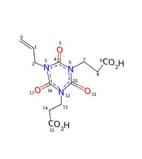 C=CCn1c(=O)n(CCC(=O)O)c(=O)n(CCC(=O)O)c1=O